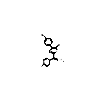 C=C(c1ccc(F)cc1)c1nc(-c2ccc(Br)cc2)c(Br)s1